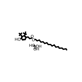 CCCCCCCCCCCCCCCCCCOC(=O)CCc1ccc(O)c(C(C)(C)C)c1C(C)(C)C.OP(O)O